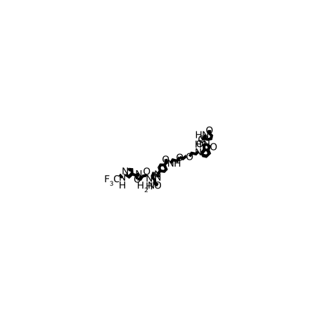 NC(=O)c1nn(C2CCC(C(=O)NCCOCCOCCNc3cccc4c3C(=O)N(C3CCC(=O)NC3=O)C4=O)CC2)cc1NC(=O)c1coc(-c2ccnc(NCC(F)(F)F)c2)n1